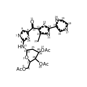 CC(=O)OCC1O[C@H](Nc2ncc(C(=O)c3sc(-c4cnccn4)nc3C)s2)C[C@@H](OC(C)=O)C1OC(C)=O